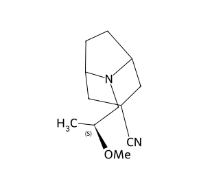 CO[C@@H](C)CN1C2CCC1CC(C#N)C2